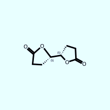 O=C1CC[C@@H]([C@@H]2CCC(=O)O2)O1